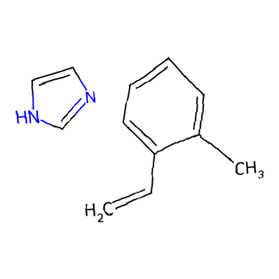 C=Cc1ccccc1C.c1c[nH]cn1